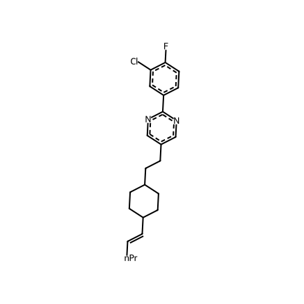 CCCC=CC1CCC(CCc2cnc(-c3ccc(F)c(Cl)c3)nc2)CC1